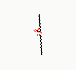 CCCCCCCCCCCCCC(=O)OC(CCCCCCCCCCC)CC([O])=O